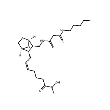 CCCCCNC(=S)CC(=O)NC[C@H]1[C@@H](C/C=C\CCCC(=O)N(C)O)[C@H]2CC[C@@H]1O2